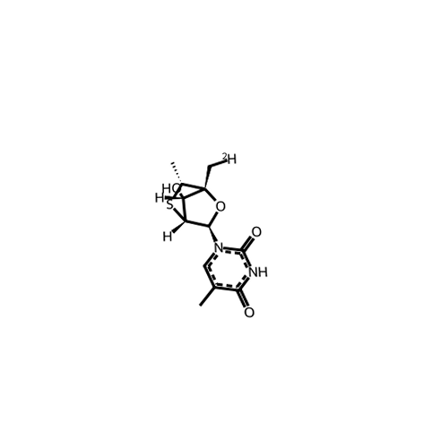 [2H]C[C@]12O[C@@H](n3cc(C)c(=O)[nH]c3=O)[C@H](S[C@@H]1C)[C@@H]2O